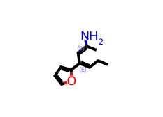 CC/C=C(\C=C(/C)N)c1ccco1